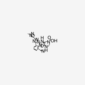 Cn1cc(-c2nc3c4cccc(C#N)c4nc(N[C@@H]4CN(C(=O)O)CCNC4=O)n3n2)cn1